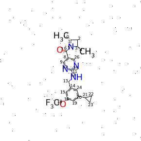 C[C@@H]1C[C@@H](C)N1C(=O)c1cnc(NCc2cc(OC(F)(F)F)cc(C3CC3)c2)nc1